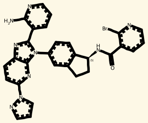 Nc1ncccc1-c1nc2ccc(-n3cccn3)nc2n1-c1ccc2c(c1)CC[C@@H]2NC(=O)c1cccnc1Br